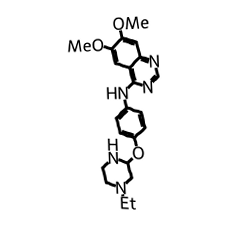 CCN1CCNC(Oc2ccc(Nc3ncnc4cc(OC)c(OC)cc34)cc2)C1